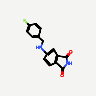 O=C1NC(=O)c2cc(NCc3ccc(F)cc3)ccc21